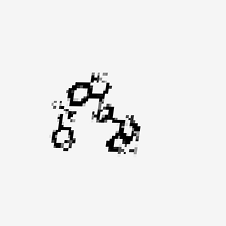 N#CCC(c1cccc(S(=O)(=O)CC2CCOCC2)c1)n1cc(-c2ncnc3[nH]ccc23)cn1